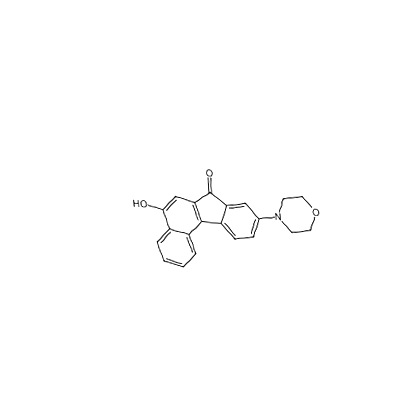 O=C1c2cc(N3CCOCC3)ccc2-c2c1cc(O)c1ccccc21